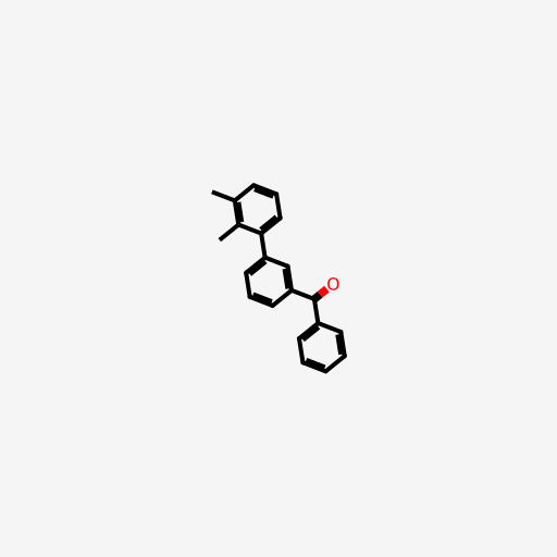 Cc1cccc(-c2cccc(C(=O)c3ccccc3)c2)c1C